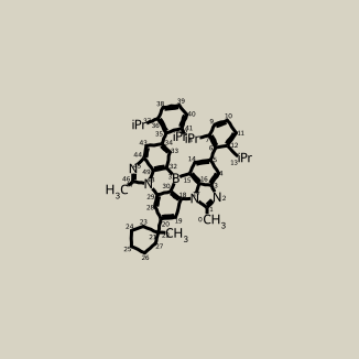 Cc1nc2cc(-c3c(C(C)C)cccc3C(C)C)cc3c2n1-c1cc(C2(C)CCCCC2)cc2c1B3c1cc(-c3c(C(C)C)cccc3C(C)C)cc3nc(C)n-2c13